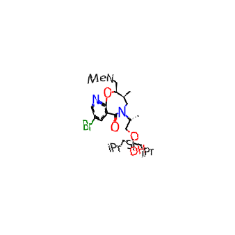 CNC[C@@H]1Oc2ncc(Br)cc2C(=O)N([C@H](C)CO[Si](O)(CC(C)C)CC(C)C)C[C@@H]1C